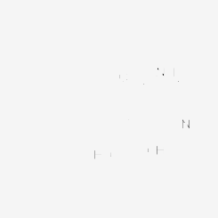 CC(C)C(C1CCCCCCCCCCC1)C(C#N)C(N)=O